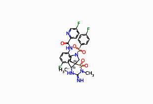 CN1C(=N)N[C@@](C)(c2cc(NC(=O)c3ccc(F)cn3)ccc2F)[C@@]2(CCN(S(=O)(=O)c3ccc(F)cc3)C2)S1(=O)=O